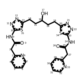 O=C(Cc1ccccn1)Nc1nnc(CCC(O)CCc2nnc(NC(=O)Cc3ccccn3)s2)s1